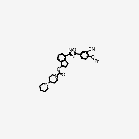 CC(C)Oc1ccc(-c2nc(-c3cccc4c3CC=C4OC(=O)N3CCC(N4CCCCC4)CC3)no2)cc1C#N